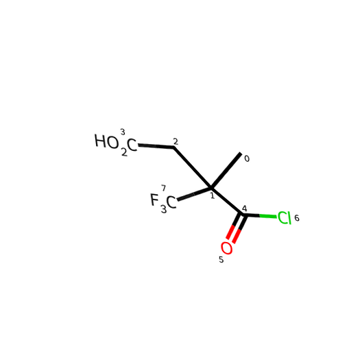 CC(CC(=O)O)(C(=O)Cl)C(F)(F)F